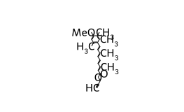 C#CCOC(=O)/C=C(C)/C=C/C=C(C)/C=C/c1c(C)cc(OC)c(C)c1C